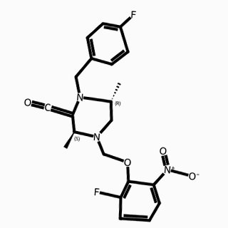 C[C@@H]1CN(COc2c(F)cccc2[N+](=O)[O-])[C@@H](C)C(=C=O)N1Cc1ccc(F)cc1